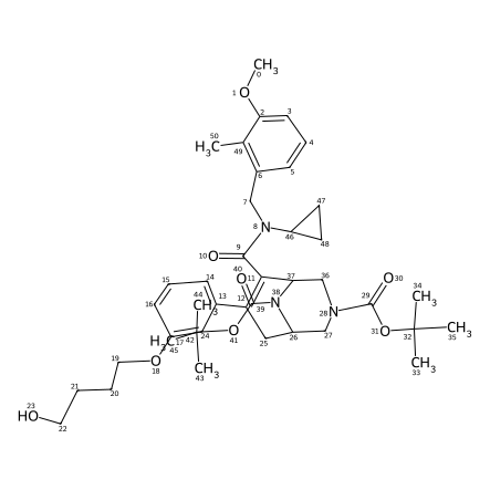 COc1cccc(CN(C(=O)C2=C(c3cccc(OCCCCO)c3)CC3CN(C(=O)OC(C)(C)C)CC2N3C(=O)OC(C)(C)C)C2CC2)c1C